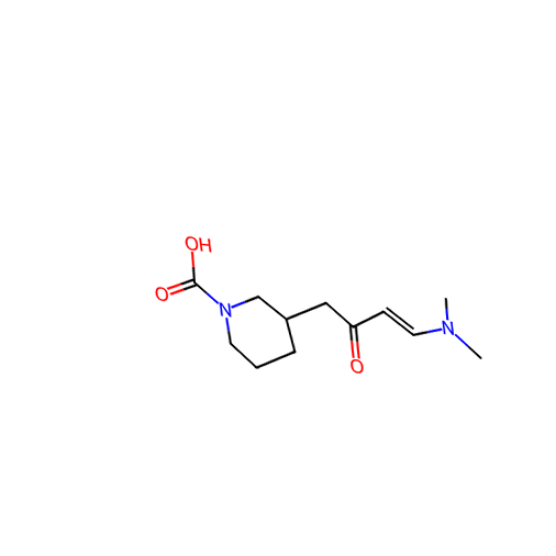 CN(C)/C=C/C(=O)CC1CCCN(C(=O)O)C1